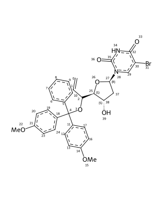 C=CC(OC(c1ccccc1)(c1ccc(OC)cc1)c1ccc(OC)cc1)[C@H]1O[C@@H](n2cc(Br)c(=O)[nH]c2=O)C[C@@H]1O